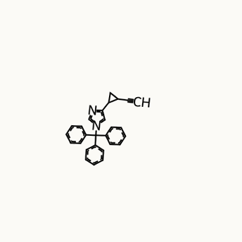 C#CC1CC1c1cn(C(c2ccccc2)(c2ccccc2)c2ccccc2)cn1